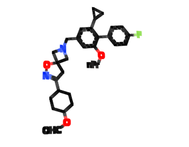 CCCOc1cc(CN2CC3(CC(C4CCC(OC=O)CC4)=NO3)C2)cc(C2CC2)c1-c1ccc(F)cc1